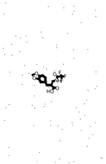 O=C(O)/C(=C/c1ccc2c(c1)OCO2)CNC(=O)C(F)(F)F